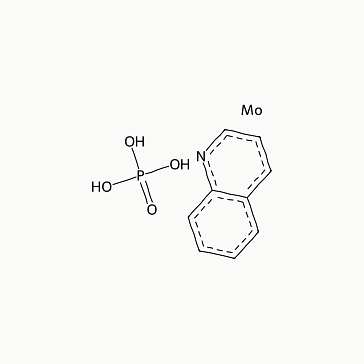 O=P(O)(O)O.[Mo].c1ccc2ncccc2c1